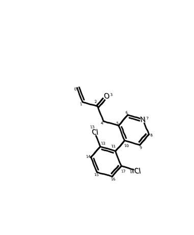 C=CC(=O)Cc1cnccc1-c1c(Cl)cccc1Cl